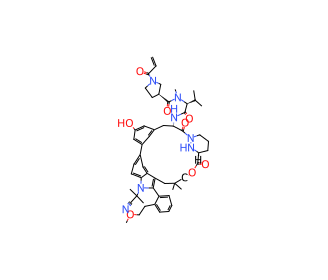 C=CC(=O)N1CC[C@H](C(=O)N(C)[C@H](C(=O)N[C@H]2Cc3cc(O)cc(c3)-c3ccc4c(c3)c(c(-c3ccccc3CCOC)n4C(C)(C)C#N)CC(C)(C)COC(=O)[C@@H]3CCCN(N3)C2=O)C(C)C)C1